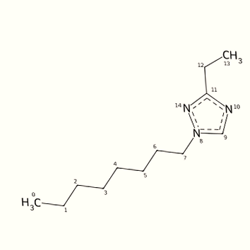 CCCCCCCCn1cnc(CC)n1